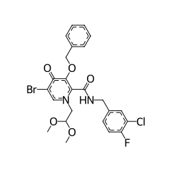 COC(Cn1cc(Br)c(=O)c(OCc2ccccc2)c1C(=O)NCc1ccc(F)c(Cl)c1)OC